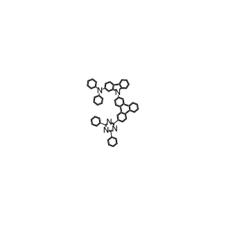 c1ccc(-c2nc(-c3ccccc3)nc(-c3ccc4c5ccccc5c5cc(-n6c7ccccc7c7ccc(N(c8ccccc8)c8ccccc8)cc76)ccc5c4c3)n2)cc1